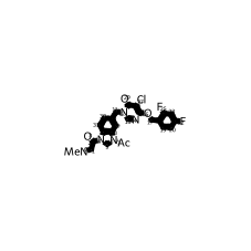 CNCC(=O)N1CN(C(C)=O)c2cc(Cn3cnc(OCc4ccc(F)cc4F)c(Cl)c3=O)ccc21